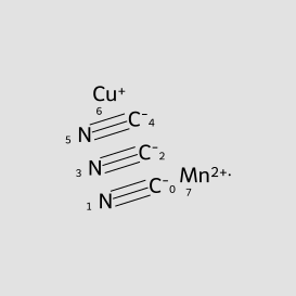 [C-]#N.[C-]#N.[C-]#N.[Cu+].[Mn+2]